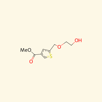 COC(=O)c1csc(COCCO)c1